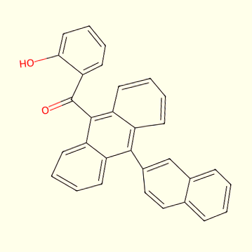 O=C(c1ccccc1O)c1c2ccccc2c(-c2ccc3ccccc3c2)c2ccccc12